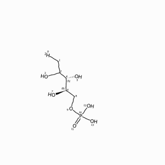 [2H]CC(O)[C@H](O)[C@H](O)COP(=O)(O)O